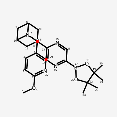 COc1ccc(CN2C3CC2CN(c2cnc(B4OC(C)(C)C(C)(C)O4)cn2)C3)cn1